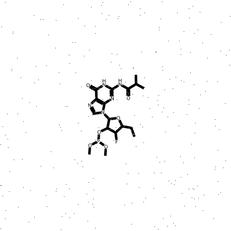 CCC1OC(n2cnc3c(=O)[nH]c(NC(=O)C(C)C)nc32)C(OP(OC)OC)C1F